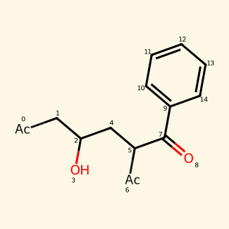 CC(=O)CC(O)CC(C(C)=O)C(=O)c1ccccc1